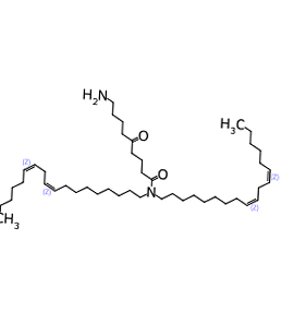 CCCCC/C=C\C/C=C\CCCCCCCCN(CCCCCCCC/C=C\C/C=C\CCCCC)C(=O)CCCC(=O)CCCCN